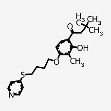 Cc1c(OCCCCSc2ccncc2)ccc(C(=O)CC(C)(C)C)c1O